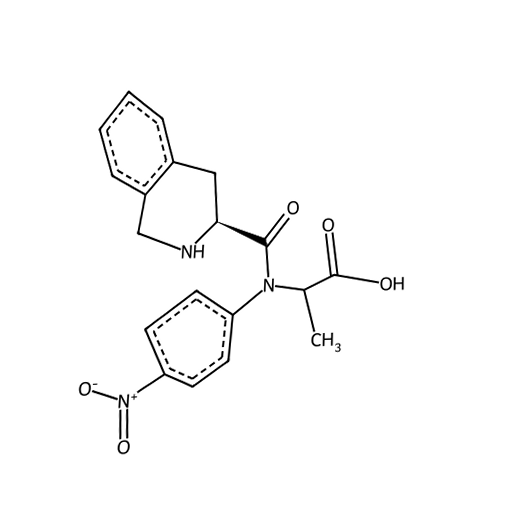 CC(C(=O)O)N(C(=O)[C@@H]1Cc2ccccc2CN1)c1ccc([N+](=O)[O-])cc1